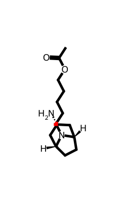 CC(=O)OCCCCCN1[C@@H]2CC[C@H]1C[C@@H](N)C2